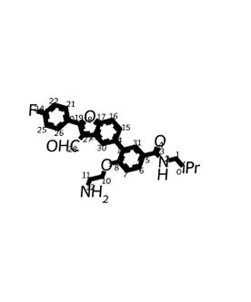 CC(C)CNC(=O)c1ccc(OCCN)c(-c2ccc3oc(-c4ccc(F)cc4)c(C=O)c3c2)c1